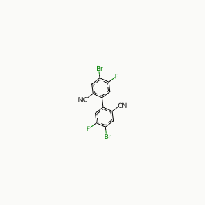 N#Cc1cc(Br)c(F)cc1-c1cc(F)c(Br)cc1C#N